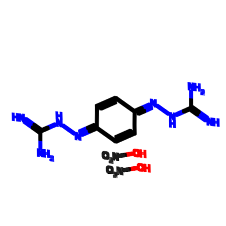 N=C(N)NN=C1C=CC(=NNC(=N)N)C=C1.O=[N+]([O-])O.O=[N+]([O-])O